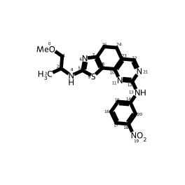 COCC(C)Nc1nc2c(s1)-c1nc(Nc3cccc([N+](=O)[O-])c3)ncc1CC2